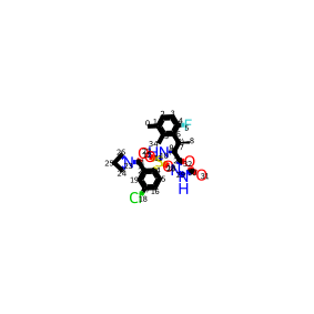 Cc1ccc(F)c([C@@H](C)[C@H](NS(=O)(=O)c2ccc(Cl)cc2C(=O)N2CCC2)c2n[nH]c(=O)o2)c1C